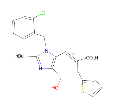 CCCCc1nc(CO)c(/C=C(\Cc2cccs2)C(=O)O)n1Cc1ccccc1Cl